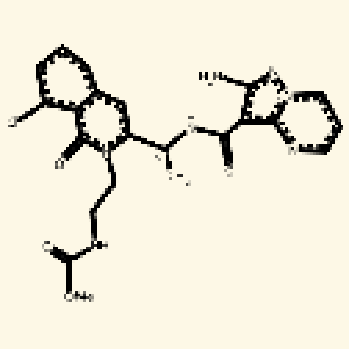 COC(=O)NCCn1c([C@H](C)NC(=O)c2c(N)nn3cccnc23)cc2cccc(Cl)c2c1=O